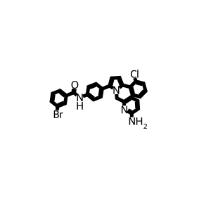 Nc1cccc(Cn2c(-c3ccc(NC(=O)c4cccc(Br)c4)cc3)ccc2-c2ccccc2Cl)n1